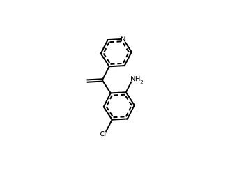 C=C(c1ccncc1)c1cc(Cl)ccc1N